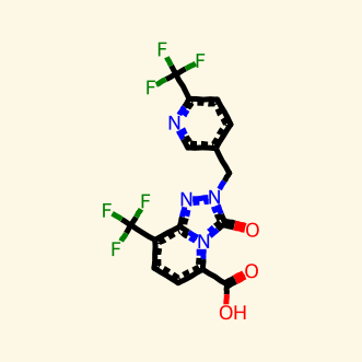 O=C(O)c1ccc(C(F)(F)F)c2nn(Cc3ccc(C(F)(F)F)nc3)c(=O)n12